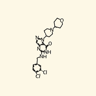 O=c1[nH]c(NCc2ccc(Cl)c(Cl)c2)nc2cnn(C3CCN(C4CCOCC4)CC3)c12